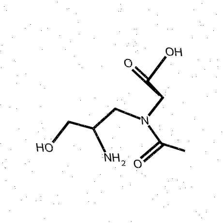 CC(=O)N(CC(=O)O)CC(N)CO